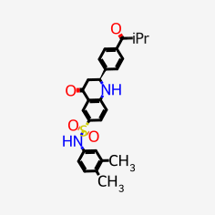 Cc1ccc(NS(=O)(=O)c2ccc3c(c2)C(=O)C[C@@H](c2ccc(C(=O)C(C)C)cc2)N3)cc1C